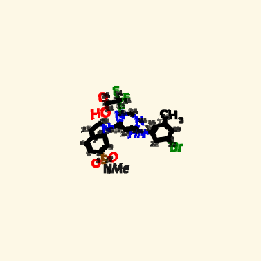 CNS(=O)(=O)c1ccc2c(c1)N(c1cc(Nc3cc(C)cc(Br)c3)ncn1)CC2.O=C(O)C(F)(F)F